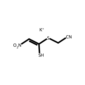 N#CCSC(S)=C[N+](=O)[O-].[K+]